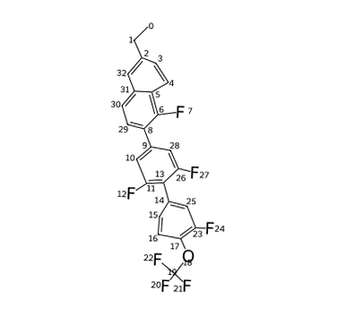 CCc1ccc2c(F)c(-c3cc(F)c(-c4ccc(OC(F)(F)F)c(F)c4)c(F)c3)ccc2c1